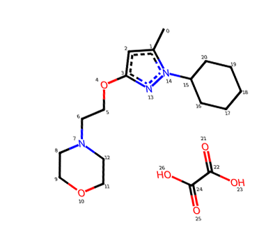 Cc1cc(OCCN2CCOCC2)nn1C1CCCCC1.O=C(O)C(=O)O